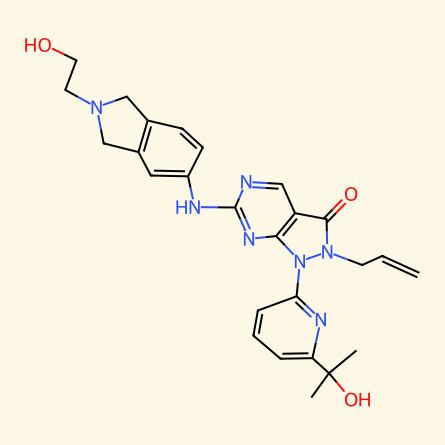 C=CCn1c(=O)c2cnc(Nc3ccc4c(c3)CN(CCO)C4)nc2n1-c1cccc(C(C)(C)O)n1